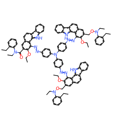 CCOc1c(CON(CC)c2ccccc2CC)cc2ccc3c4ccccc4[nH]c3c2c1N=Nc1ccc(N(c2ccc(N=Nc3c(OCC)c(CON(CC)c4ccccc4CC)cc4ccc5c6ccccc6[nH]c5c34)cc2)c2ccc(N=Nc3c(OCC)c(C(=O)N(CC)c4ccccc4CC)cc4ccc5c6ccccc6[nH]c5c34)cc2)cc1